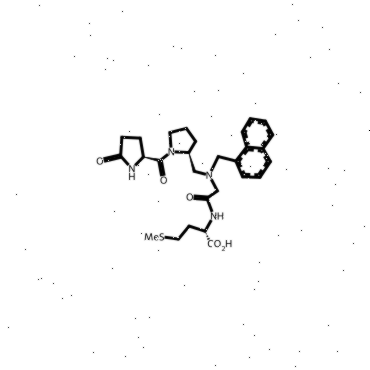 CSCC[C@H](NC(=O)CN(Cc1cccc2ccccc12)C[C@@H]1CCCN1C(=O)[C@@H]1CCC(=O)N1)C(=O)O